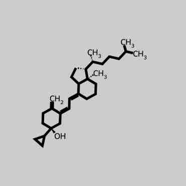 C=C1CC[C@@](O)(C2CC2)C/C1=C/C=C1CCC[C@@]2(C)C1CC[C@@H]2[C@H](C)CCCC(C)C